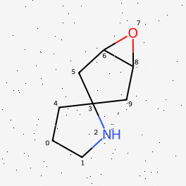 C1CNC2(C1)CC1OC1C2